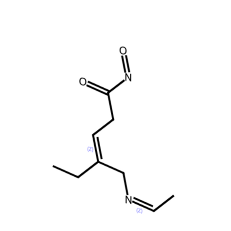 C/C=N\C/C(=C\CC(=O)N=O)CC